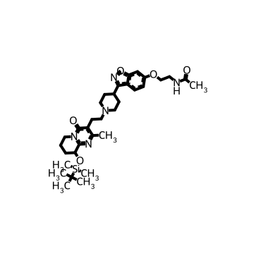 CC(=O)NCCOc1ccc2c(C3CCN(CCc4c(C)nc5n(c4=O)CCCC5O[Si](C)(C)C(C)(C)C)CC3)noc2c1